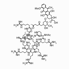 C=C1c2cccc(OC)c2C(=O)c2c(O)c3c(c(O)c21)C[C@](O)(C(=O)CO)C[C@@H]3OC1CC(CC(=O)CCC(=O)C[C@@H](CCCNC(=N)N)C(=O)N[C@@H](CCCNC(=N)N)C(=O)NCCCCC(NC(=O)C(CCCNC(=N)N)NC(=O)C(CCCNC(=N)N)NC(C)=O)C(=O)N[C@@H](CCCNC(=N)N)C(=O)N[C@@H](CCCNC(=N)N)C(=O)N[C@@H](CCCNC(=N)N)C(=O)N[C@@H](CCCNC(=N)N)C(N)=O)C(O)C(C)O1